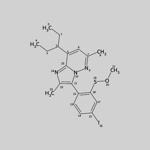 CCC(CC)c1cc(C)nn2c(-c3ccc(I)cc3SOC)c(C)nc12